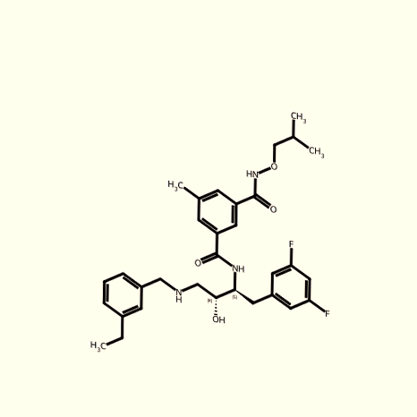 CCc1cccc(CNC[C@@H](O)[C@H](Cc2cc(F)cc(F)c2)NC(=O)c2cc(C)cc(C(=O)NOCC(C)C)c2)c1